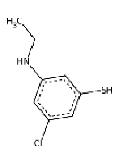 CCNc1cc(S)cc(Cl)c1